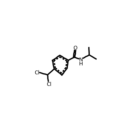 CC(C)NC(=O)c1ccc(C(Cl)Cl)cc1